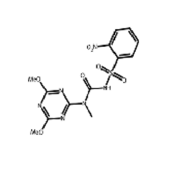 COc1nc(OC)nc(N(C)C(=O)NS(=O)(=O)c2ccccc2[N+](=O)[O-])n1